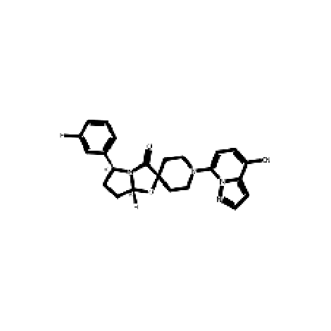 N#Cc1ccc(N2CCC3(CC2)O[C@@H]2CC[C@@H](c4cccc(F)c4)N2C3=O)n2nccc12